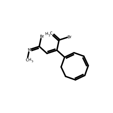 C=C(Br)C(=C\C(Br)=N/C)/C1=C/C=C\C=C/CC1